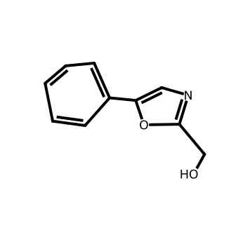 OCc1ncc(-c2ccccc2)o1